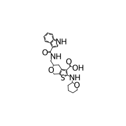 O=C(O)c1c(NC2CCCCO2)sc2c1CC(CNC(=O)c1c[nH]c3ccccc13)OC2